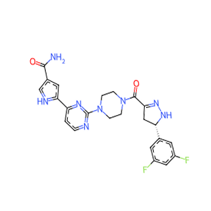 NC(=O)c1c[nH]c(-c2ccnc(N3CCN(C(=O)C4=NN[C@H](c5cc(F)cc(F)c5)C4)CC3)n2)c1